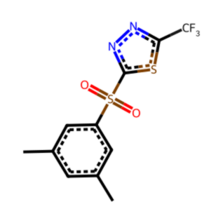 Cc1cc(C)cc(S(=O)(=O)c2nnc(C(F)(F)F)s2)c1